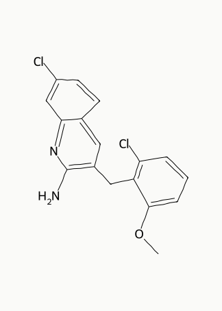 COc1cccc(Cl)c1Cc1cc2ccc(Cl)cc2nc1N